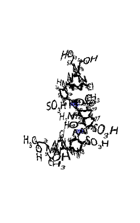 CC(O)CN(CC(C)O)c1nc(Cl)nc(Nc2ccc(S(=O)(=O)O)c(/N=N/c3c(S(=O)(=O)O)cc4cc(S(C)(=O)=O)c(/N=N/c5cc(Nc6nc(Cl)nc(N(CCO)CCO)n6)ccc5S(=O)(=O)O)c(N)c4c3O)c2)n1